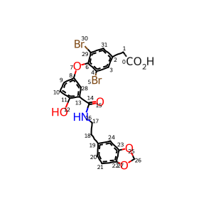 O=C(O)Cc1cc(Br)c(Oc2ccc(O)c(C(=O)NCCc3ccc4c(c3)OCO4)c2)c(Br)c1